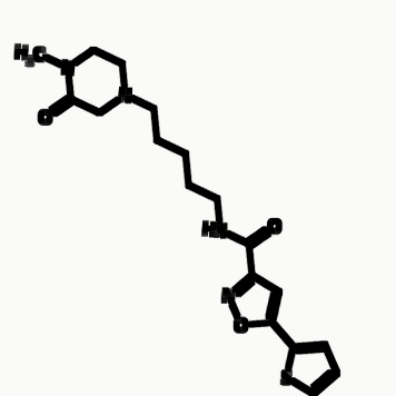 CN1CCN(CCCCCNC(=O)c2cc(-c3cccs3)on2)CC1=O